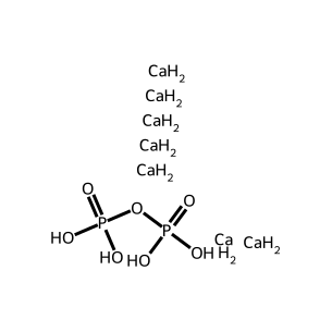 O=P(O)(O)OP(=O)(O)O.[CaH2].[CaH2].[CaH2].[CaH2].[CaH2].[CaH2].[CaH2]